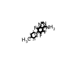 CC1CCN(c2c(F)c(F)c3c(N)ncnc3c2F)CC1